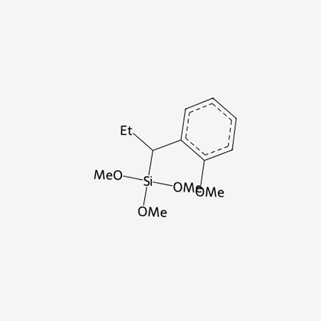 CCC(c1ccccc1OC)[Si](OC)(OC)OC